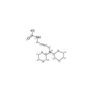 CCC(=O)NCC#CCN(C1CCCCC1)C1CCCCC1